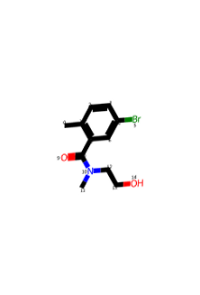 Cc1ccc(Br)cc1C(=O)N(C)CCO